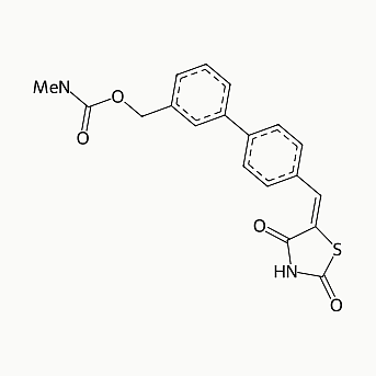 CNC(=O)OCc1cccc(-c2ccc(C=C3SC(=O)NC3=O)cc2)c1